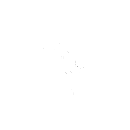 Cl.O=c1cc(C2CCNCC2)n2ncc(-c3nc(-c4cc(F)cc(Cl)c4)no3)c2[nH]1